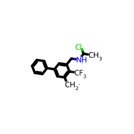 [CH2]c1cc(-c2ccccc2)cc(CNC(C)Cl)c1C(F)(F)F